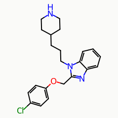 Clc1ccc(OCc2nc3ccccc3n2CCCC2CCNCC2)cc1